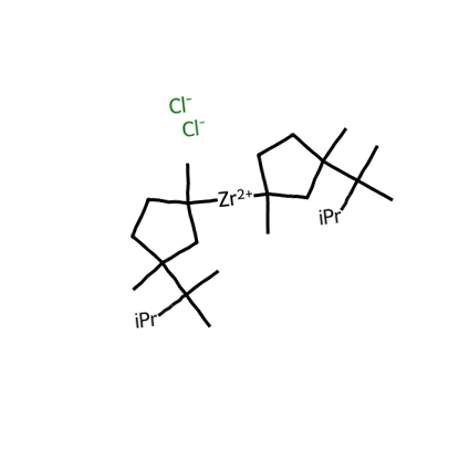 CC(C)C(C)(C)C1(C)CC[C](C)([Zr+2][C]2(C)CCC(C)(C(C)(C)C(C)C)C2)C1.[Cl-].[Cl-]